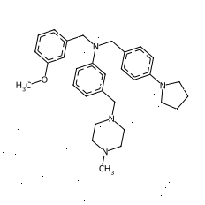 COc1cccc(CN(Cc2ccc(N3CCCC3)cc2)c2cccc(CN3CCN(C)CC3)c2)c1